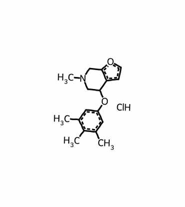 Cc1cc(OC2CN(C)Cc3occc32)cc(C)c1C.Cl